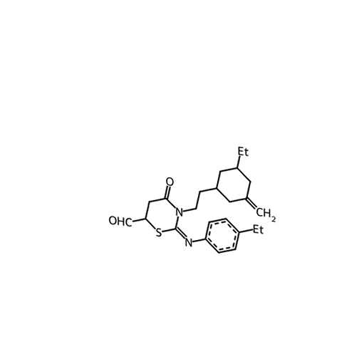 C=C1CC(CC)CC(CCN2C(=O)CC(C=O)S/C2=N/c2ccc(CC)cc2)C1